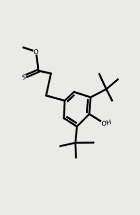 COC(=S)CCc1cc(C(C)(C)C)c(O)c(C(C)(C)C)c1